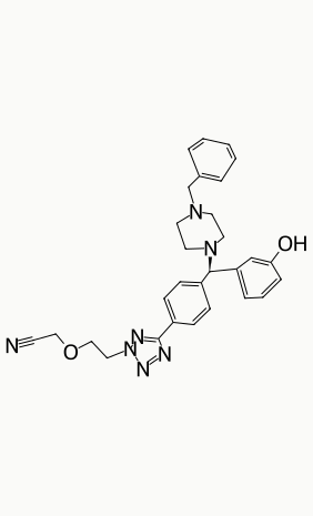 N#CCOCCn1nnc(-c2ccc([C@H](c3cccc(O)c3)N3CCN(Cc4ccccc4)CC3)cc2)n1